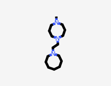 CN1CCCN(CCN2CCCCCCC2)CCC1